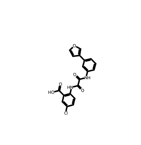 O=C(Nc1cccc(-c2ccoc2)c1)C(=O)Nc1ccc(Cl)cc1C(=O)O